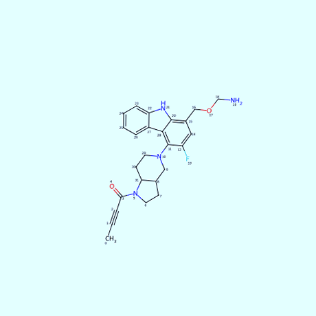 CC#CC(=O)N1CCC2CN(c3c(F)cc(COCN)c4[nH]c5ccccc5c34)CCC21